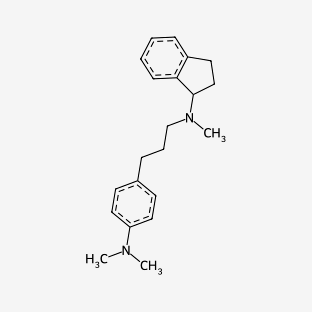 CN(C)c1ccc(CCCN(C)C2CCc3ccccc32)cc1